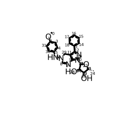 COc1ccc(NN2C=Nc3c(c(-c4ccccc4)nn3[C@@H]3O[C@H](C)[C@@H](O)[C@H]3O)C2)cc1